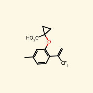 C=C(c1ccc(C)cc1OC1(C(=O)O)CC1)C(F)(F)F